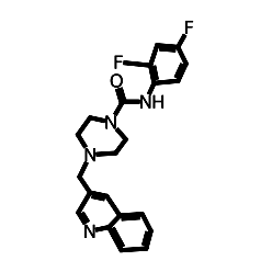 O=C(Nc1ccc(F)cc1F)N1CCN(Cc2cnc3ccccc3c2)CC1